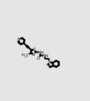 Cc1nc(NC(=O)NCCn2ncc3ccccc32)sc1C#Cc1ccncc1